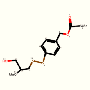 CNC(=O)OCc1ccc(SSCC(CO)OC)cc1